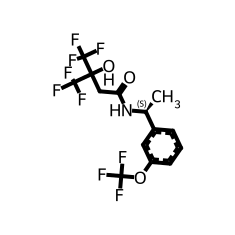 C[C@H](NC(=O)CC(O)(C(F)(F)F)C(F)(F)F)c1cccc(OC(F)(F)F)c1